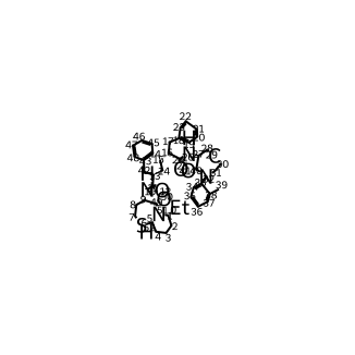 CC[C@@H]1CCC[C@@H]2SCC[C@H](NC(=O)[C@H](CC[C@H](Cc3ccccc3)C(=O)N[C@H]3CCCCN(c4ccccc4C)C3=O)Cc3ccccc3)C(=O)N12